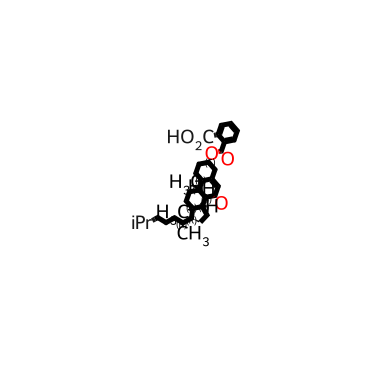 CC(C)CCC[C@@H](C)[C@H]1CC[C@H]2[C@@H]3C(=O)C=C4C[C@@H](OC(=O)c5ccccc5C(=O)O)CC[C@]4(C)[C@H]3CC[C@]12C